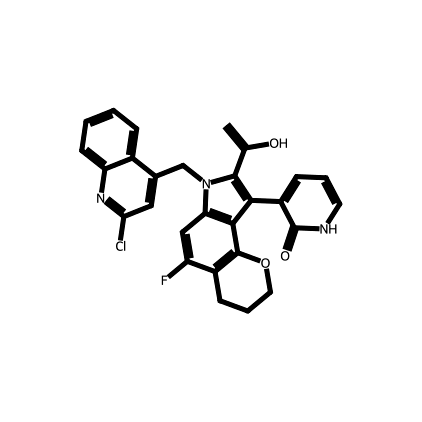 C=C(O)c1c(-c2ccc[nH]c2=O)c2c3c(c(F)cc2n1Cc1cc(Cl)nc2ccccc12)CCCO3